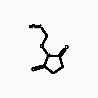 CCCCCCON1C(=O)CCC1=O